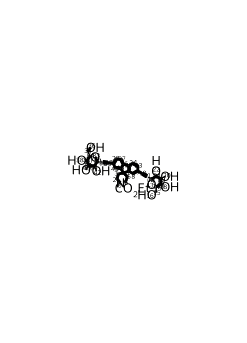 CCOC(=O)N1CCC2(CC1)c1cc(C#C[C@H]3O[C@H](CO)[C@@H](O)[C@H](O)[C@@H]3O)ccc1-c1ccc(C#C[C@H]3O[C@H](CO)[C@@H](O)[C@H](O)[C@@H]3O)cc12